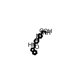 O=C(NO)c1ccc(N2CCC(NC(=O)C3CCc4ccccc43)CC2)nc1